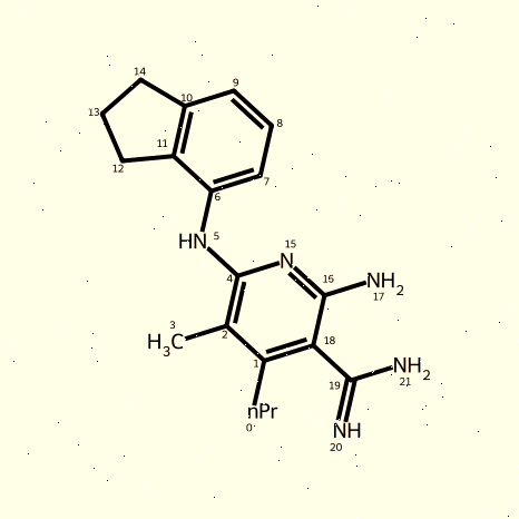 CCCc1c(C)c(Nc2cccc3c2CCC3)nc(N)c1C(=N)N